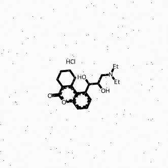 CCN(CC)CC(O)C(O)c1cccc2oc(=O)c3c(c12)CCCC3.Cl